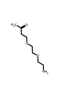 CC(=O)CCOCCOCCN